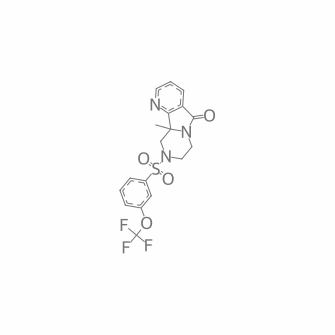 CC12CN(S(=O)(=O)c3cccc(OC(F)(F)F)c3)CCN1C(=O)c1cccnc12